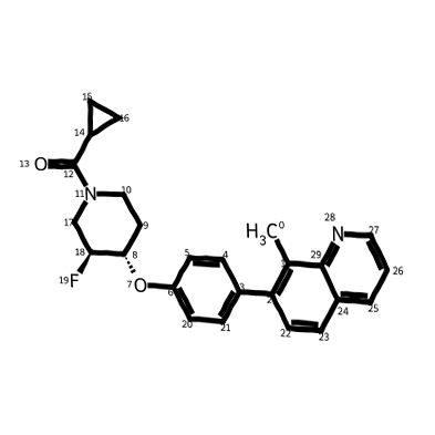 Cc1c(-c2ccc(O[C@H]3CCN(C(=O)C4CC4)C[C@@H]3F)cc2)ccc2cccnc12